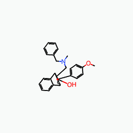 COc1ccc(C2(O)CC3c4ccccc4C2CC3CN(C)Cc2ccccc2)cc1